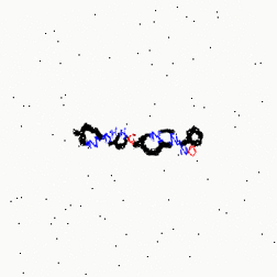 Cc1ccc(NCc2ccc(OCC3CCC4CN(c5noc6ccccc56)CCN4C3)nc2)nc1